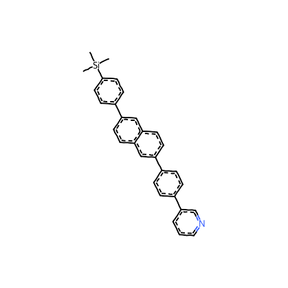 C[Si](C)(C)c1ccc(-c2ccc3cc(-c4ccc(-c5cccnc5)cc4)ccc3c2)cc1